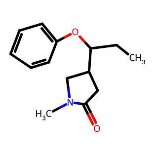 CCC(Oc1ccccc1)C1CC(=O)N(C)C1